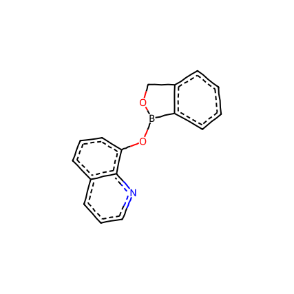 c1ccc2c(c1)COB2Oc1cccc2cccnc12